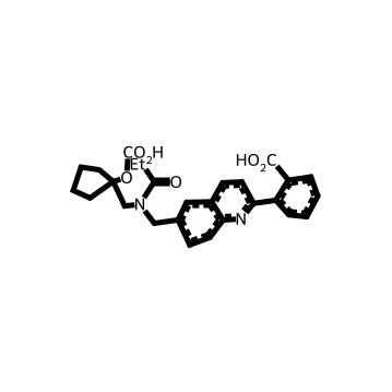 CCC(=O)N(Cc1ccc2nc(-c3ccccc3C(=O)O)ccc2c1)CC1(OC(=O)O)CCCC1